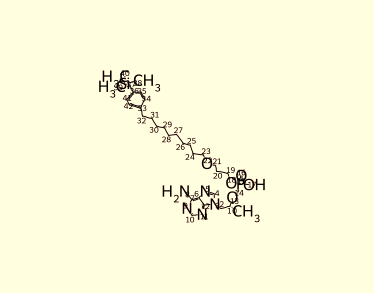 C[C@H](Cn1cnc2c(N)ncnc21)OCP(=O)(O)OCCCOCCCCCCCCCCc1ccc([Si](C)(C)C)cc1